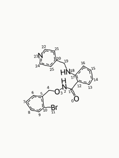 O=C(NOCc1ccccc1Br)c1ccccc1NCc1ccncc1